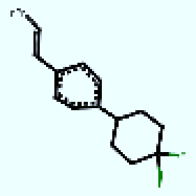 CCCC=Cc1ccc(C2CCC(F)(F)CC2)cc1